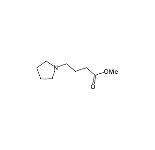 COC(=O)CCCN1CCCC1